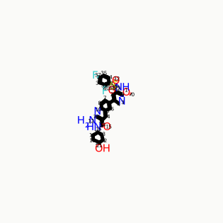 COc1ncc(-c2ccc3nc(N)c(C(=O)N[C@H]4CC[C@H](O)CC4)cc3c2)cc1NS(=O)(=O)c1ccc(F)cc1F